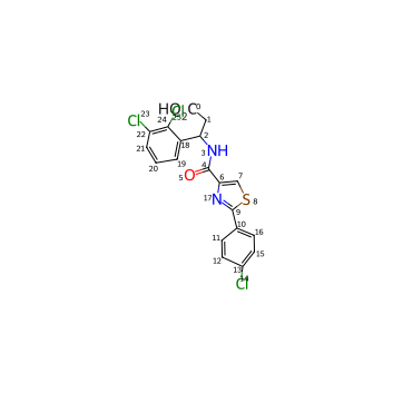 O=C(O)CC(NC(=O)c1csc(-c2ccc(Cl)cc2)n1)c1cccc(Cl)c1Cl